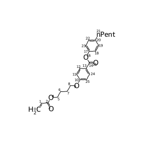 C=CC(=O)OCCCCOc1ccc(C(=O)Oc2ccc(CCCCC)cc2)cc1